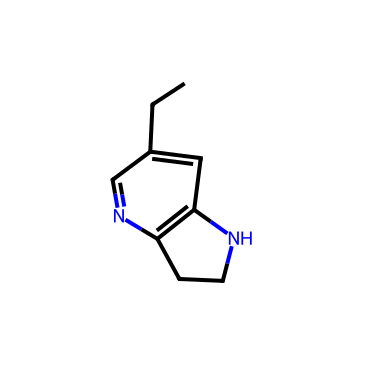 CCc1cnc2c(c1)NCC2